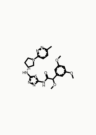 COc1cc(OC)cc(C(OC)C(=O)Nc2nnc(N[C@@H]3CCN(c4ccc(C)nn4)C3)s2)c1